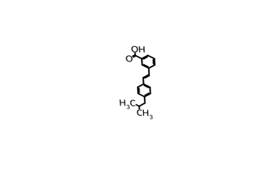 CC(C)Cc1ccc(/C=C/c2cccc(C(=O)O)c2)cc1